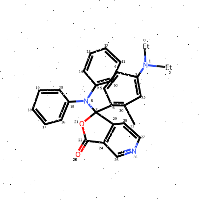 CCN(CC)c1ccc(C2(N(c3ccccc3)c3ccccc3)OC(=O)c3cnccc32)c(C)c1